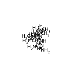 C[SiH](C)[Si](C)(C)c1nc(Nc2nc(N)nc(N)n2)nc([Si](C)(C)[SiH](C)C)n1